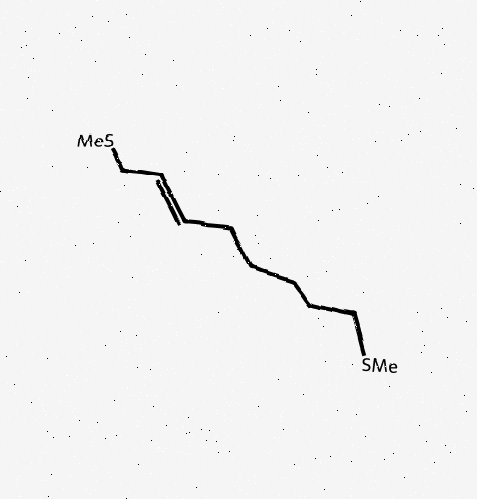 CSC/C=C/CCCCCSC